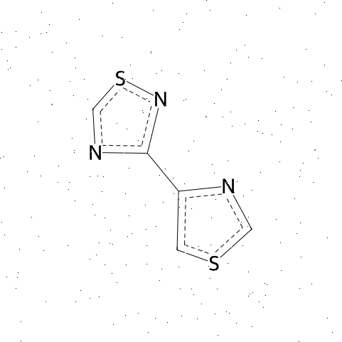 c1nc(-c2ncsn2)cs1